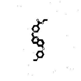 CCOC(=O)C1CCN(Cc2ccc3cc(O[C@H]4CC[C@H](CC)CC4)ccc3n2)CC1